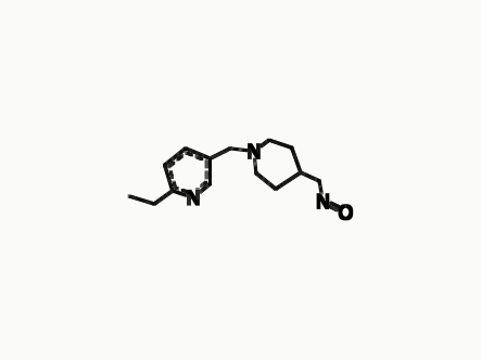 CCc1ccc(CN2CCC(CN=O)CC2)cn1